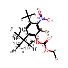 [2H]C([2H])([2H])C(c1cc(C(C)(C)C)c([N+](=O)[O-])c(Br)c1OC(=O)OCC)(C([2H])([2H])[2H])C([2H])([2H])[2H]